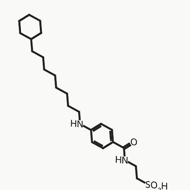 O=C(NCCS(=O)(=O)O)c1ccc(NCCCCCCCCC2CCCCC2)cc1